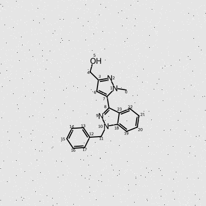 Cn1nc(CO)cc1-c1nn(Cc2ccccc2)c2ccccc12